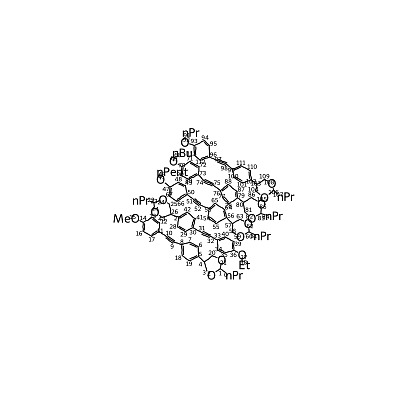 CCCC1OCC(c2ccc(C#Cc3ccc(OC)cc3)cc2)CO1.CCCC1OCC(c2ccc(C#Cc3ccc(OCC)cc3)cc2)CO1.CCCCCOc1ccc(C#Cc2ccc(C3COC(CCC)OC3)cc2)cc1.CCCCOc1ccc(C#Cc2ccc(C3COC(CCC)OC3)cc2)cc1.CCCOc1ccc(C#Cc2ccc(C3COC(CCC)OC3)cc2)cc1